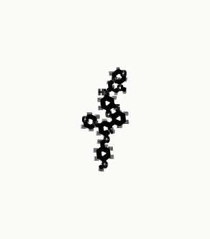 COC[C@H](CN1CCOCC1)Nc1ccc2c(c1)Sc1cccc(-c3cc(N4CCOCC4)cc(OCc4ccc(OC)cc4)n3)c1O2